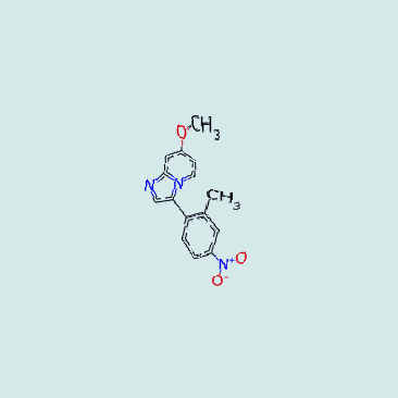 COc1ccn2c(-c3ccc([N+](=O)[O-])cc3C)cnc2c1